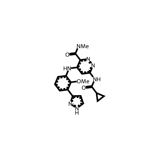 CNC(=O)c1nnc(NC(=O)C2CC2)cc1Nc1cccc(-c2cc[nH]n2)c1OC